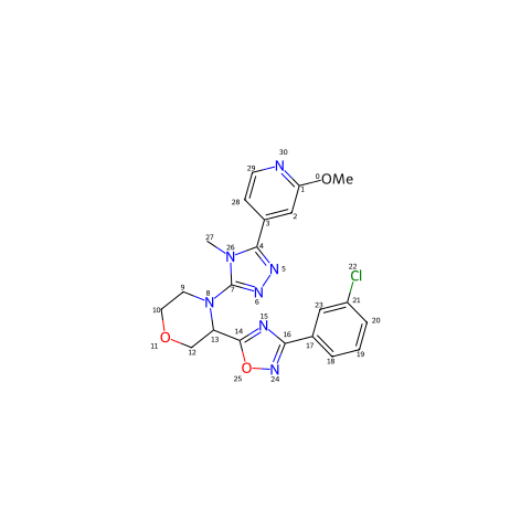 COc1cc(-c2nnc(N3CCOCC3c3nc(-c4cccc(Cl)c4)no3)n2C)ccn1